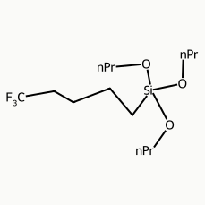 CCCO[Si](CCCCC(F)(F)F)(OCCC)OCCC